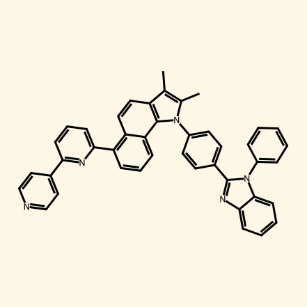 Cc1c(C)n(-c2ccc(-c3nc4ccccc4n3-c3ccccc3)cc2)c2c1ccc1c(-c3cccc(-c4ccncc4)n3)cccc12